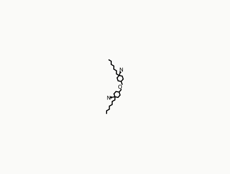 CCCCCCCC1(C#N)CCC(COCC2CCC(C#N)(CCCCCCC)CC2)CC1